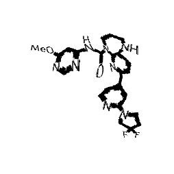 COc1cc(NC(=O)N2CCCNc3ccc(-c4ccnc(N5CCC(F)(F)C5)c4)nc32)ncn1